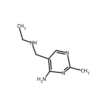 CCNCc1cnc(C)nc1N